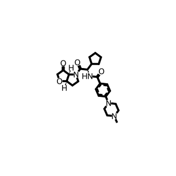 CN1CCN(c2ccc(C(=O)N[C@H](C(=O)N3CC[C@H]4OCC(=O)[C@H]43)C3CCCC3)cc2)CC1